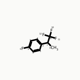 CC(c1ccc(F)cc1)C(F)(F)F